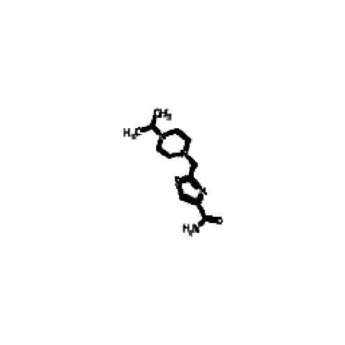 CC(C)N1CCN(Cc2nc(C(N)=O)cs2)CC1